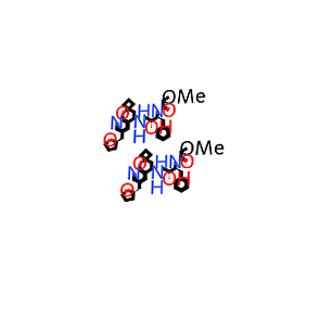 COCC(=O)N[C@@H](Cc1ccccc1)[C@H](O)CN[C@H]1CC2(CCC2)Oc2ncc(C[C@@H]3CCCO3)cc21.COCC(=O)N[C@@H](Cc1ccccc1)[C@H](O)CN[C@H]1CC2(CCC2)Oc2ncc(C[C@H]3CCCO3)cc21